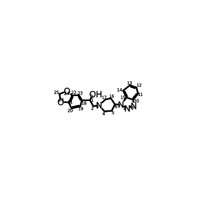 OC(CN1CCC(n2nnc3ccccc32)CC1)c1ccc2c(c1)OCO2